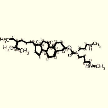 CCC(CCCC1CCC2C3CC=C4CC(OC(=O)N(CCCCNC)CCCNC)CCC4(C)C3CCC12C)C(C)C